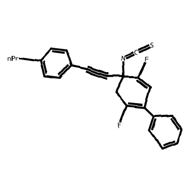 CCCc1ccc(C#CC2(N=C=S)CC(F)=C(c3ccccc3)C=C2F)cc1